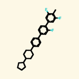 Cc1c(F)cc(-c2ccc(-c3ccc(C4CCC(C5CCCC5)CC4)cc3)cc2F)cc1F